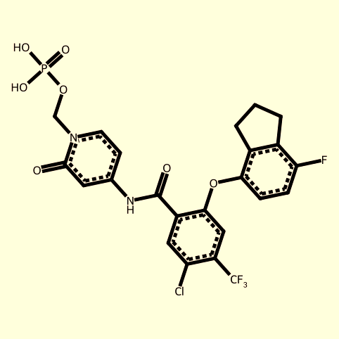 O=C(Nc1ccn(COP(=O)(O)O)c(=O)c1)c1cc(Cl)c(C(F)(F)F)cc1Oc1ccc(F)c2c1CCC2